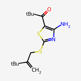 C=C(CSc1nc(N)c(C(=O)C(C)(C)C)s1)C(C)(C)C